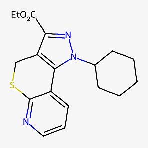 CCOC(=O)c1nn(C2CCCCC2)c2c1CSc1ncccc1-2